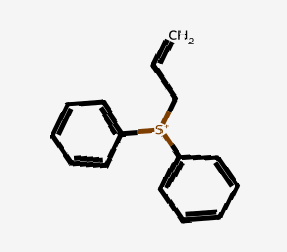 C=CC[S+](c1ccccc1)c1ccccc1